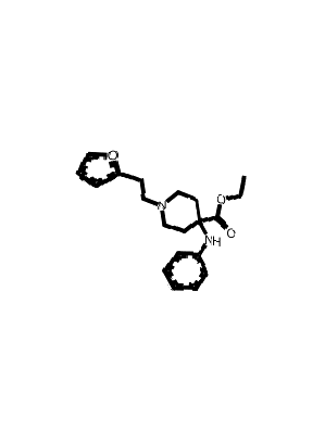 CCOC(=O)C1(Nc2ccccc2)CCN(CCc2ccco2)CC1